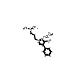 CN(C)CCCn1cc(-c2ccccc2)c(O)n1.Cl.Cl